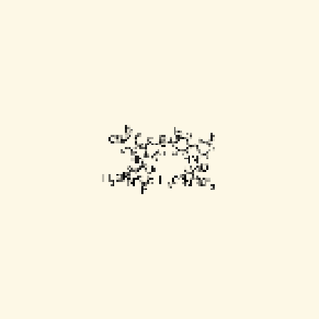 Cn1cc(C(=O)Nc2ccc(F)cc2-c2ccc(Cl)c(F)c2)c(C(F)(F)F)n1.Cn1cc(C(=O)Nc2ccc(F)cc2-c2ccc(Cl)c(F)c2)c(C(F)F)n1